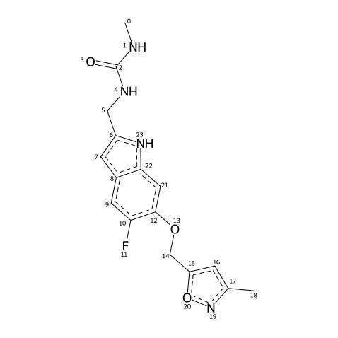 CNC(=O)NCc1cc2cc(F)c(OCc3cc(C)no3)cc2[nH]1